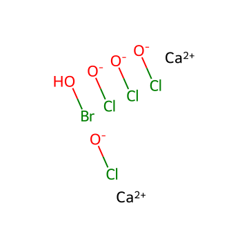 OBr.[Ca+2].[Ca+2].[O-]Cl.[O-]Cl.[O-]Cl.[O-]Cl